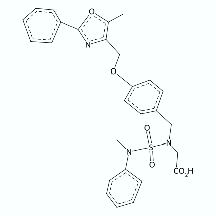 Cc1oc(-c2ccccc2)nc1COc1ccc(CN(CC(=O)O)S(=O)(=O)N(C)c2ccccc2)cc1